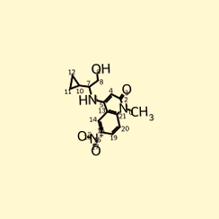 Cn1c(=O)cc(NC(CO)C2CC2)c2cc([N+](=O)[O-])ccc21